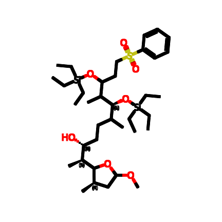 CC[Si](CC)(CC)OC(CCS(=O)(=O)c1ccccc1)C(C)[C@@H](O[Si](CC)(CC)CC)C(C)CC[C@@H](O)[C@H](C)C1OC(OC)C[C@H]1C